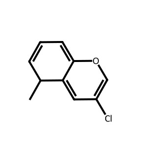 CC1C=CC=C2OC=C(Cl)C=C21